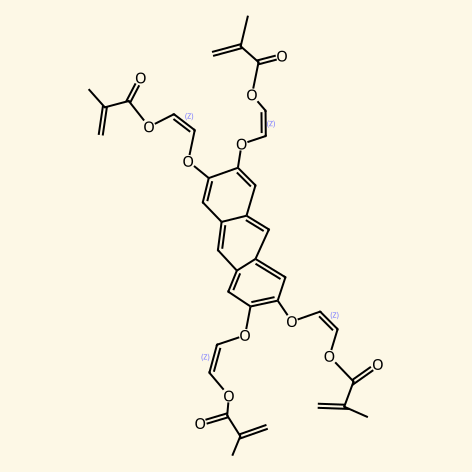 C=C(C)C(=O)O/C=C\Oc1cc2cc3cc(O/C=C\OC(=O)C(=C)C)c(O/C=C\OC(=O)C(=C)C)cc3cc2cc1O/C=C\OC(=O)C(=C)C